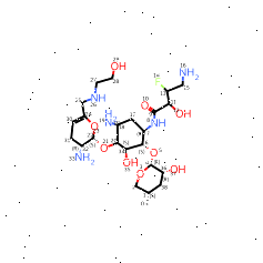 C[C@@H]1CO[C@H](O[C@H]2[C@H](NC(=O)C(O)C(F)CN)C[C@H](N)C(O[C@H]3OC(CNCCO)=CC[C@H]3N)[C@@H]2O)[C@H](O)C1